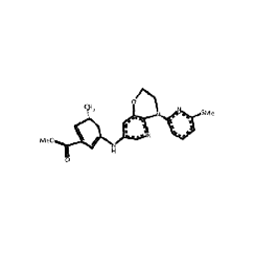 COC(=O)C1=C[C@H](C)CC(Nc2cnc3c(c2)OCCN3c2cccc(SC)n2)=C1